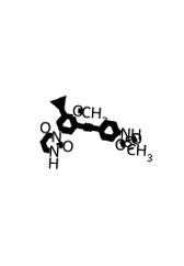 COc1c(C#Cc2ccc(NS(C)(=O)=O)cc2)cc(N2C(=O)CCNC2=O)cc1C1CC1